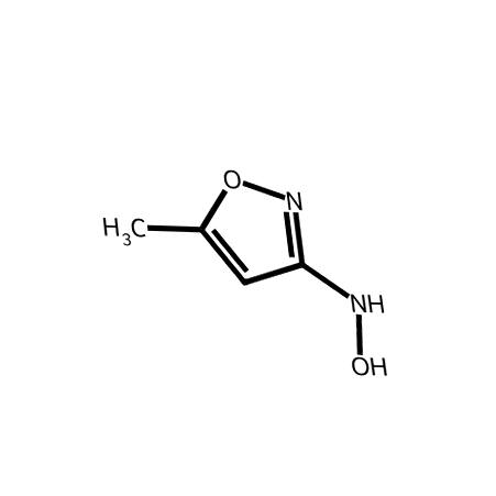 Cc1cc(NO)no1